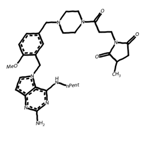 CCCCCNc1nc(N)nc2ccn(Cc3cc(CN4CCN(C(=O)CCN5C(=O)CC(C)C5=O)CC4)ccc3OC)c12